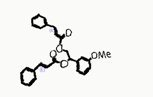 COc1cccc(C(COC(=O)/C=C/c2ccccc2)OC(=O)/C=C/c2ccccc2)c1